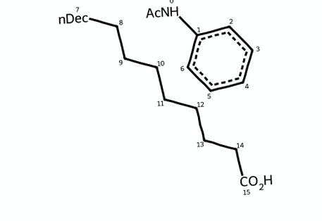 CC(=O)Nc1ccccc1.CCCCCCCCCCCCCCCCCC(=O)O